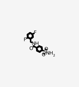 NS(=O)(=O)c1ccc(C(=O)NCc2cc(F)ccc2F)cc1